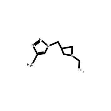 CCN1CC(Cn2cc(C)nn2)C1